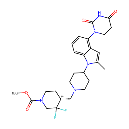 Cc1cc2c(N3CCC(=O)NC3=O)cccc2n1C1CCN(C[C@H]2CCN(C(=O)OC(C)(C)C)CC2(F)F)CC1